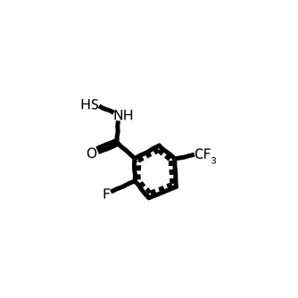 O=C(NS)c1cc(C(F)(F)F)ccc1F